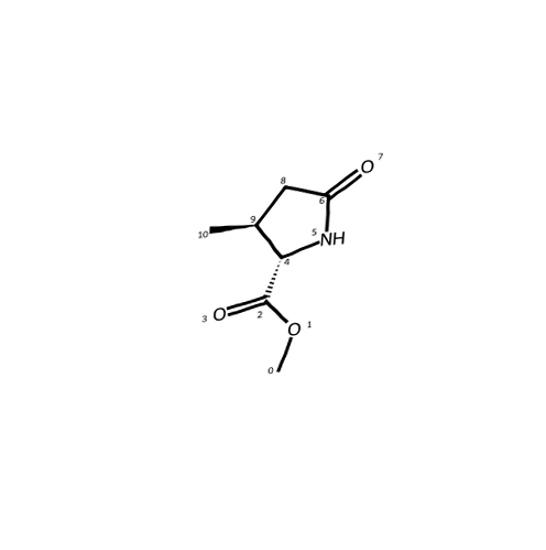 COC(=O)[C@H]1NC(=O)C[C@@H]1C